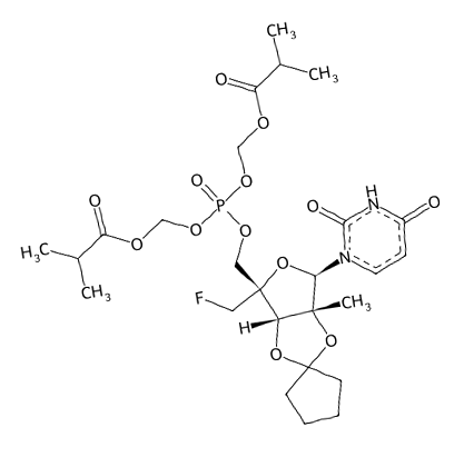 CC(C)C(=O)OCOP(=O)(OCOC(=O)C(C)C)OC[C@@]1(CF)O[C@@H](n2ccc(=O)[nH]c2=O)[C@]2(C)OC3(CCCC3)O[C@H]12